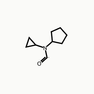 O=[C]N(C1CCCC1)C1CC1